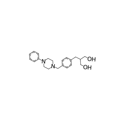 OCC(CO)Cc1ccc(CN2CCN(c3ccccc3)CC2)cc1